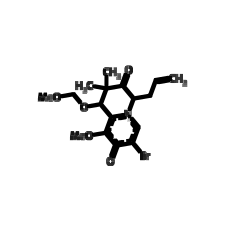 C=CCC1C(=O)C(C)(C)C(OCOC)c2c(OC)c(=O)c(Br)cn21